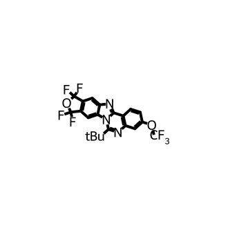 CC(C)(C)c1nc2cc(OC(F)(F)F)ccc2c2nc3cc4c(cc3n12)C(F)(F)OC4(F)F